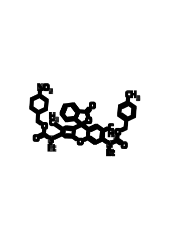 CCN(C(=O)OCc1ccc(C)cc1)c1cc2c(cc1C)C1(OC(=O)c3ccccc31)c1cc(C)c(N(CC)C(=O)OCC3CCC([N+](=O)[O-])CC3)cc1O2